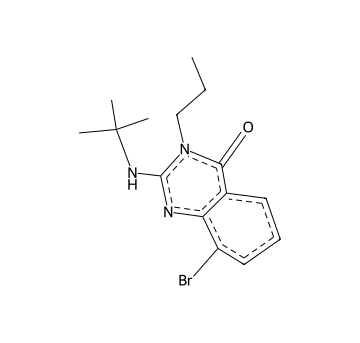 CCCn1c(NC(C)(C)C)nc2c(Br)cccc2c1=O